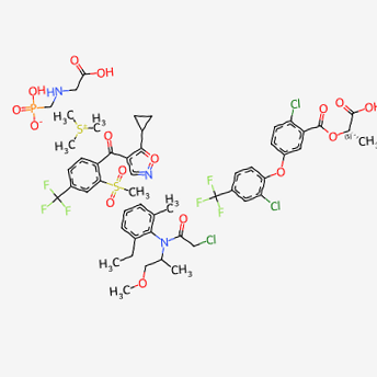 CCc1cccc(C)c1N(C(=O)CCl)C(C)COC.CS(=O)(=O)c1cc(C(F)(F)F)ccc1C(=O)c1cnoc1C1CC1.C[C@H](OC(=O)c1cc(Oc2ccc(C(F)(F)F)cc2Cl)ccc1Cl)C(=O)O.C[S+](C)C.O=C(O)CNCP(=O)([O-])O